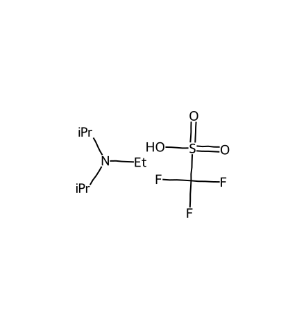 CCN(C(C)C)C(C)C.O=S(=O)(O)C(F)(F)F